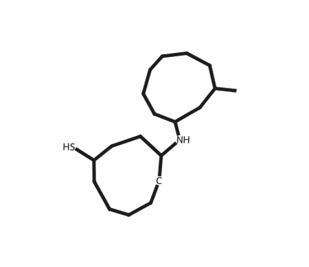 CC1CCCCCCC(NC2CCCCCC(S)CC2)C1